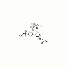 CCS(=O)(=O)c1ccc([C@H](CC(=O)NCC(=O)O)NC(=O)OC(C)(C)C)cc1